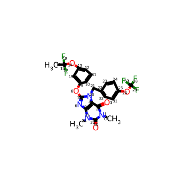 Cn1c(=O)c2c(nc(Oc3cccc(OC(C)(F)F)c3)n2Cc2ccc(OC(F)(F)F)cc2)n(C)c1=O